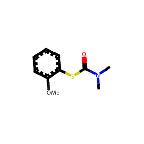 COc1ccccc1SC(=O)N(C)C